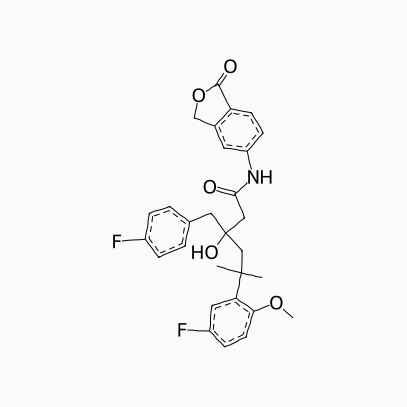 COc1ccc(F)cc1C(C)(C)CC(O)(CC(=O)Nc1ccc2c(c1)COC2=O)Cc1ccc(F)cc1